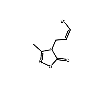 [CH2]C/C=C\Cn1c(C)noc1=O